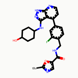 CC(C)(C)c1ncc(C(=O)NCc2ccc(-c3ccnc4[nH]nc(NC5CCC(O)CC5)c34)cc2F)o1